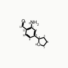 Nc1cc(C2CCCO2)ccc1C=O